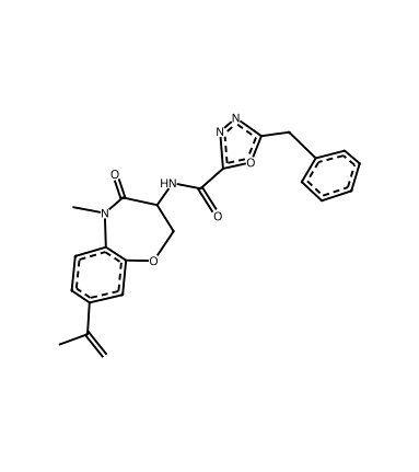 C=C(C)c1ccc2c(c1)OCC(NC(=O)c1nnc(Cc3ccccc3)o1)C(=O)N2C